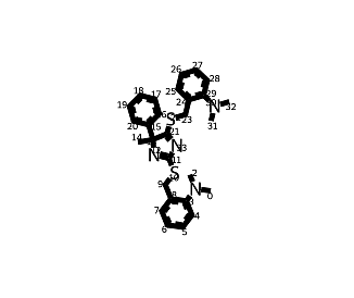 CN(C)c1ccccc1CSC1=NC(C)(c2ccccc2)C(SCc2ccccc2N(C)C)=N1